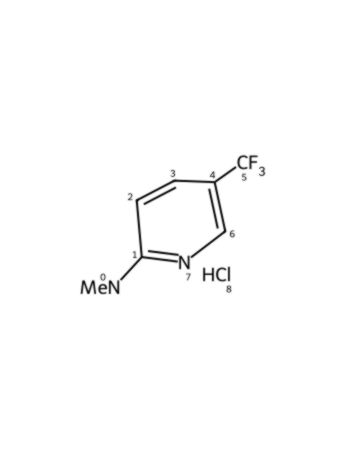 CNc1ccc(C(F)(F)F)cn1.Cl